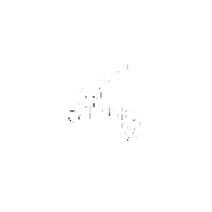 CCC1(C(C)C(=O)NCC(=O)NCC(=O)NC(Cc2ccccc2)C(=O)NCC(=O)NCOCC=O)CC(=O)NC1=O